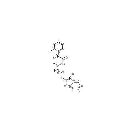 Cc1ccccc1N1CCC(NCCc2cc3ccccc3n2C)CC1C